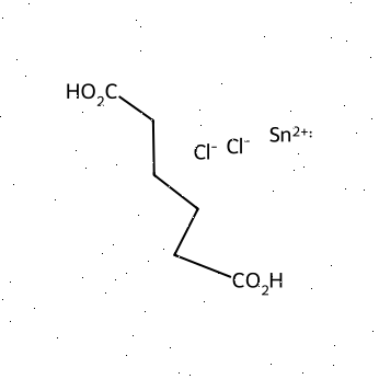 O=C(O)CCCCC(=O)O.[Cl-].[Cl-].[Sn+2]